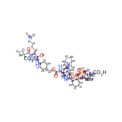 CCOC(=O)C1(C(=O)N[C@@H](CCCCN(C)C)C(=O)Nc2ccc(COC(=O)Nc3nnc(-c4ccccc4OP(=O)(OC(C)(C)C)OC(C)(C)C)cc3N3CC4CCC(C3)N4c3ccnc(OCCN4CCN(C(=O)O)CC4C)c3)cc2)CCC1